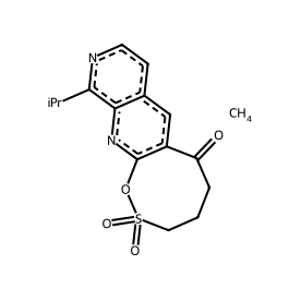 C.CC(C)c1nccc2cc3c(nc12)OS(=O)(=O)CCCC3=O